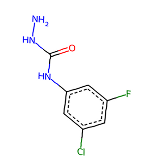 NNC(=O)Nc1cc(F)cc(Cl)c1